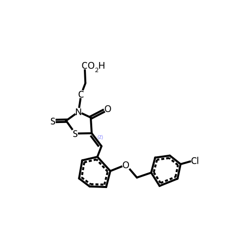 O=C(O)CCN1C(=O)/C(=C/c2ccccc2OCc2ccc(Cl)cc2)SC1=S